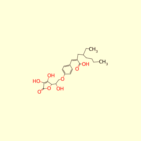 CCCCC(CC)CC(=Cc1ccc(OCC(O)C2OC(=O)C(O)=C2O)cc1)C(=O)O